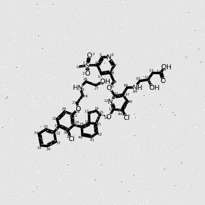 CS(=O)(=O)c1cncc(COc2nc(O[C@H]3CCc4c(-c5c(OCCNCCO)ccc(-c6ccccc6)c5Cl)cccc43)c(Cl)cc2CNCC(O)CC(=O)O)c1